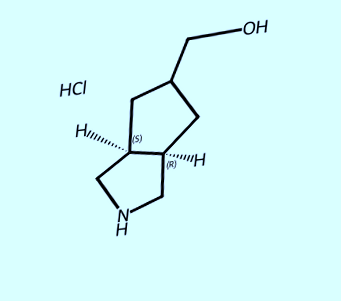 Cl.OCC1C[C@H]2CNC[C@H]2C1